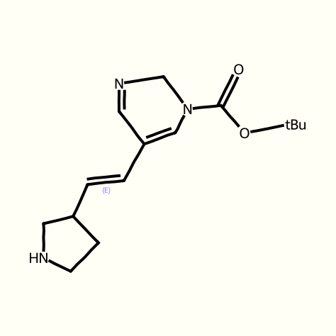 CC(C)(C)OC(=O)N1C=C(/C=C/C2CCNC2)C=NC1